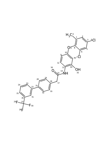 Cc1cc(Cl)cc(Cl)c1Oc1ccc(NC(=O)Cc2ccc(-c3cccc(C(F)(F)F)c3)cc2)c(O)c1